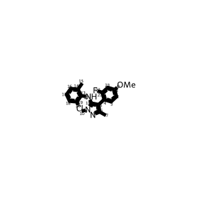 COc1ccc(-c2c(C)nn(C)c2Nc2c(C)cccc2Cl)c(F)c1